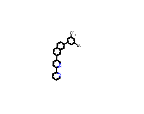 CCc1cc(-c2ccc3ccc(-c4ccc(-c5ccccn5)nc4)cc3c2)cc(C(F)(F)F)c1